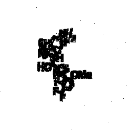 COc1ccc(C(F)F)c(F)c1-c1nc(C(O)Nc2cnn(C)c2[C@@H]2CC[C@@H](N)[C@H](F)CO2)cs1